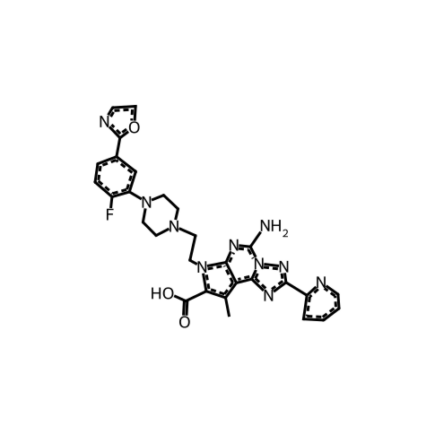 Cc1c(C(=O)O)n(CCN2CCN(c3cc(-c4ncco4)ccc3F)CC2)c2nc(N)n3nc(-c4ccccn4)nc3c12